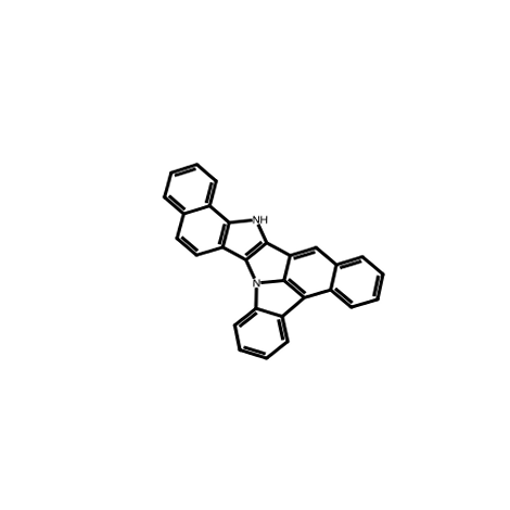 c1ccc2c(c1)ccc1c2[nH]c2c3cc4ccccc4c4c5ccccc5n(c12)c34